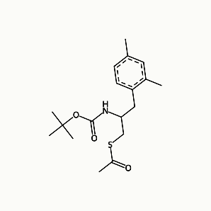 CC(=O)SCC(Cc1ccc(C)cc1C)NC(=O)OC(C)(C)C